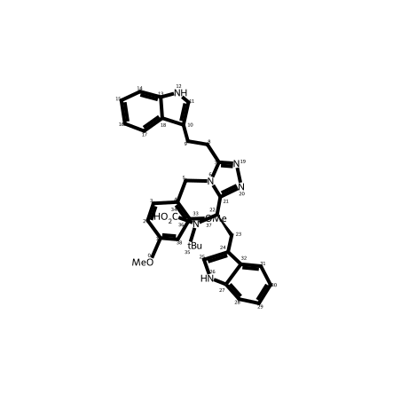 COc1ccc(Cn2c(CCc3c[nH]c4ccccc34)nnc2[C@@H](Cc2c[nH]c3ccccc23)N(C(=O)O)C(C)(C)C)c(OC)c1